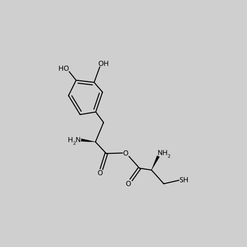 N[C@@H](CS)C(=O)OC(=O)[C@@H](N)Cc1ccc(O)c(O)c1